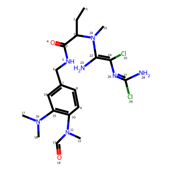 CCC(C(=O)NCc1ccc(N(C)C=O)c(N(C)C)c1)N(C)/C(N)=C(Cl)/N=C(\N)Cl